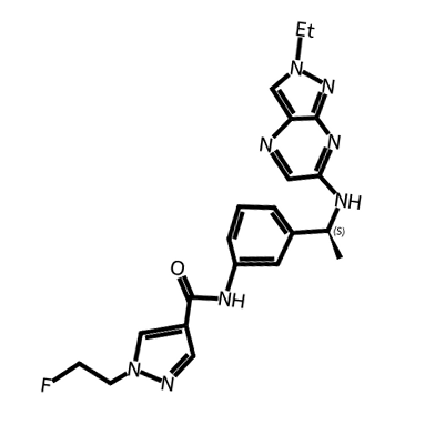 CCn1cc2ncc(N[C@@H](C)c3cccc(NC(=O)c4cnn(CCF)c4)c3)nc2n1